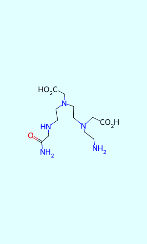 NCCN(CCN(CCNCC(N)=O)CC(=O)O)CC(=O)O